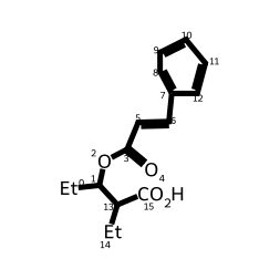 CCC(OC(=O)/C=C/c1ccccc1)C(CC)C(=O)O